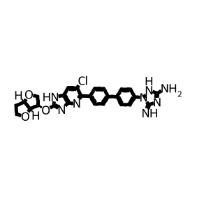 N=c1nc(N)[nH]n1-c1ccc(-c2ccc(-c3nc4nc(O[C@@H]5CO[C@@H]6CCO[C@@H]65)[nH]c4cc3Cl)cc2)cc1